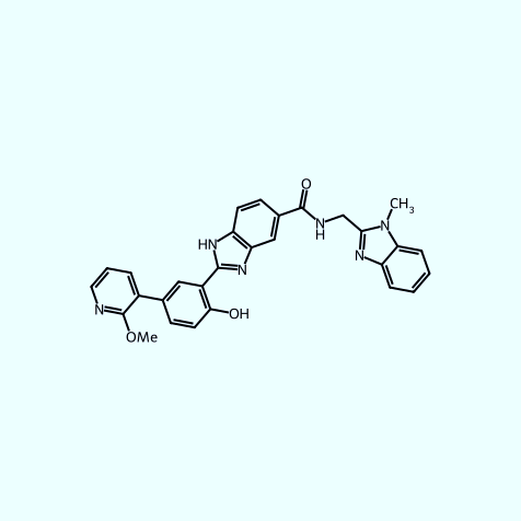 COc1ncccc1-c1ccc(O)c(-c2nc3cc(C(=O)NCc4nc5ccccc5n4C)ccc3[nH]2)c1